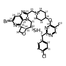 Fc1cnc(Cc2ccc(Cl)cc2)nc1OC1CCN(Cc2nc3cc(Br)ncc3n2C[C@H]([SiH3])[C@@H]2CCO2)CC1